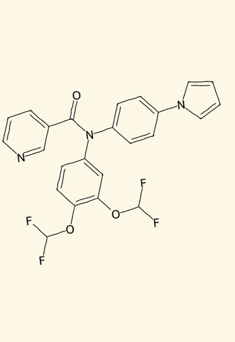 O=C(c1cccnc1)N(c1ccc(-n2cccc2)cc1)c1ccc(OC(F)F)c(OC(F)F)c1